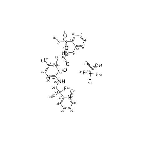 CCS(=O)(=O)c1ccccc1CNC(=O)Cn1c(Cl)cnc(NCC(F)(F)c2cccc[n+]2[O-])c1=O.O=C(O)C(F)(F)F